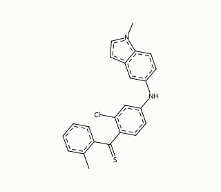 Cc1ccccc1C(=S)c1ccc(Nc2ccc3c(ccn3C)c2)cc1Cl